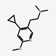 COc1cc(C2CC2)c(CCN(C)C)cn1